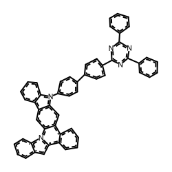 c1ccc(-c2nc(-c3ccccc3)nc(-c3ccc(-c4ccc(-n5c6ccccc6c6cc7c(cc65)c5ccccc5c5cc6ccccc6n57)cc4)cc3)n2)cc1